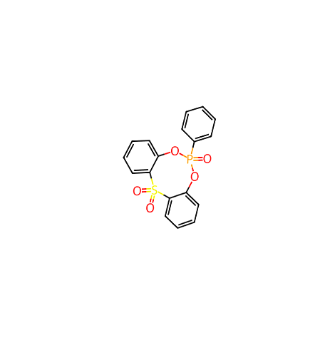 O=P1(c2ccccc2)Oc2ccccc2S(=O)(=O)c2ccccc2O1